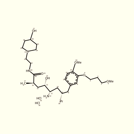 COCCCOc1cc(C[C@@H](C[C@H](N)[C@@H](O)C[C@@H](C)C(=O)NCCN2CCC(O)CC2)C(C)C)ccc1OC.Cl.Cl